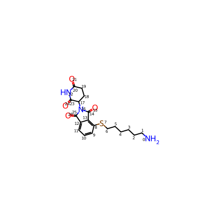 NCCCCCCSc1cccc2c1C(=O)N(C1CCC(=O)NC1=O)C2=O